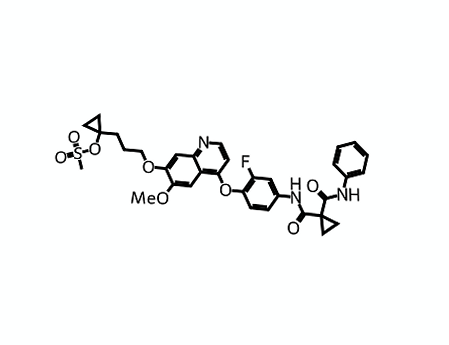 COc1cc2c(Oc3ccc(NC(=O)C4(C(=O)Nc5ccccc5)CC4)cc3F)ccnc2cc1OCCCC1(OS(C)(=O)=O)CC1